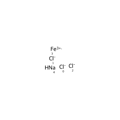 [Cl-].[Cl-].[Cl-].[Fe+3].[NaH]